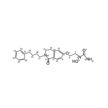 NC(=O)N(O)CCOc1ccc2c(c1)CCN(CCCCc1ccccc1)C2=O